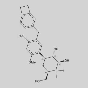 COc1cc(C)c(Cc2ccc3c(c2)CC3)cc1[C@@H]1O[C@H](CO)C(F)(F)[C@H](O)[C@H]1O